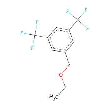 CCOCc1cc(C(F)(F)F)cc(C(F)(F)F)c1